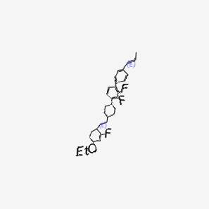 C/C=C/c1ccc(-c2ccc(C3CCC(/C=C/C4CCC(OCC)C=C4F)CC3)c(F)c2F)cc1